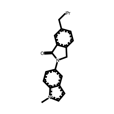 CC(C)Cc1ccc2c(c1)C(=O)N(c1ccc3c(ccn3C)c1)C2